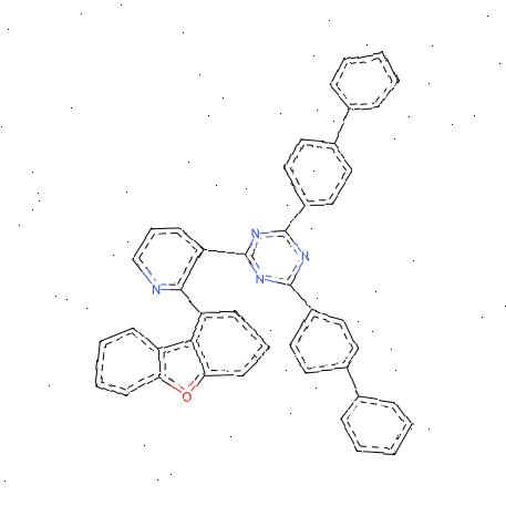 c1ccc(-c2ccc(-c3nc(-c4ccc(-c5ccccc5)cc4)nc(-c4cccnc4-c4cccc5oc6ccccc6c45)n3)cc2)cc1